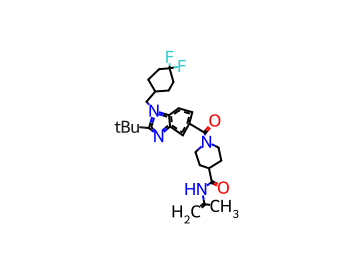 C=C(C)NC(=O)C1CCN(C(=O)c2ccc3c(c2)nc(C(C)(C)C)n3CC2CCC(F)(F)CC2)CC1